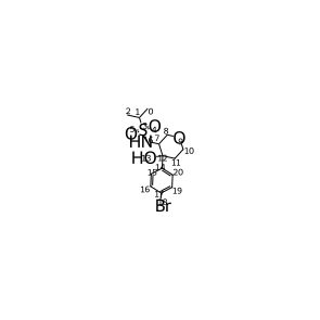 CC(C)S(=O)(=O)NC1COCCC1(O)c1ccc(Br)cc1